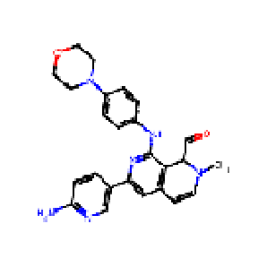 CN1C=Cc2cc(-c3ccc(N)nc3)nc(Nc3ccc(N4CCOCC4)cc3)c2C1C=O